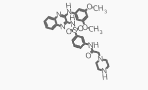 COc1cc(Nc2nc3ccccc3nc2NS(=O)(=O)c2cccc(NC(=O)CN3CCNCC3)c2)cc(OC)c1